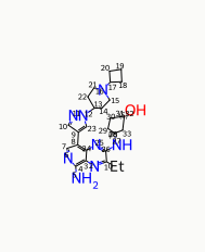 CCc1nc2c(N)ncc(-c3cnn(C4CCN(C5CCC5)CC4)c3)c2nc1N[C@@H]1CC[C@H](O)C1